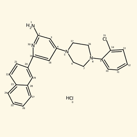 Cl.Nc1cc(N2CCN(c3ccccc3Cl)CC2)cc(-c2ccc3ccccc3c2)n1